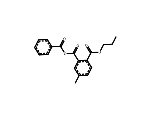 CCCOC(=O)c1ccc(C)cc1C(=O)OC(=O)c1ccccc1